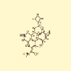 Cc1c(C(N)=O)nc2c(c1-c1ccc(F)cc1F)C(C1CCOC(C3CCC3)C1)CNC2